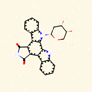 C[C@@H]1O[C@@H](n2c3ccccc3c3c4c(c5c6ccccc6[nH]c5c32)C(=O)NC4=O)C[C@@H](O)[C@H]1O